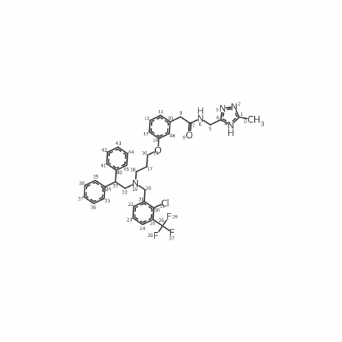 Cc1nnc(CNC(=O)Cc2cccc(OCCCN(Cc3cccc(C(F)(F)F)c3Cl)CC(c3ccccc3)c3ccccc3)c2)[nH]1